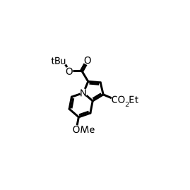 CCOC(=O)c1cc(C(=O)OC(C)(C)C)n2ccc(OC)cc12